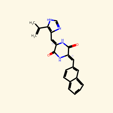 C=C(C)c1[nH]cnc1/C=c1\[nH]c(=O)/c(=C/c2ccc3ccccc3c2)[nH]c1=O